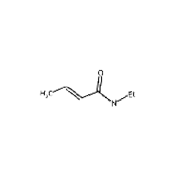 CC=CC(=O)[N]CC